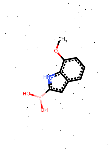 COc1cccc2cc(B(O)O)[nH]c12